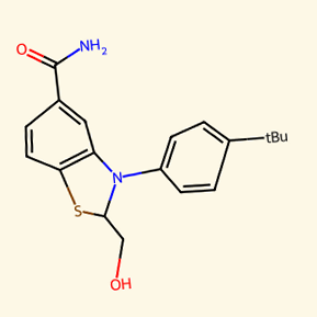 CC(C)(C)c1ccc(N2c3cc(C(N)=O)ccc3SC2CO)cc1